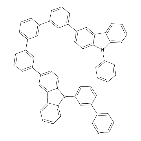 c1ccc(-n2c3ccccc3c3cc(-c4cccc(-c5cccc(-c6cccc(-c7ccc8c(c7)c7ccccc7n8-c7cccc(-c8cccnc8)c7)c6)c5)c4)ccc32)cc1